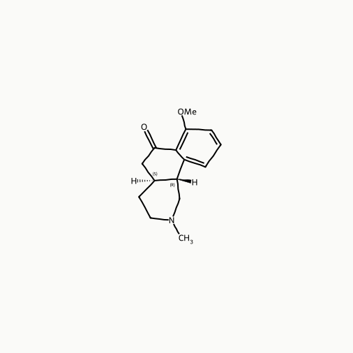 COc1cccc2c1C(=O)C[C@@H]1CCN(C)C[C@@H]21